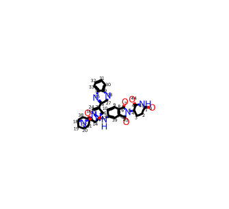 O=C1CCC(N2C(=O)c3ccc(NCCC(=O)N4C5CC4CC(n4cc(-c6cnc7ccccc7n6)cn4)C5)cc3C2=O)C(=O)N1